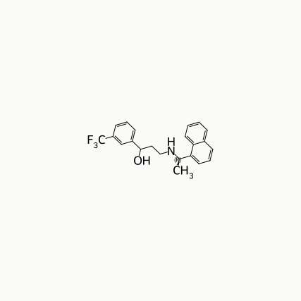 C[C@@H](NCCC(O)c1cccc(C(F)(F)F)c1)c1cccc2ccccc12